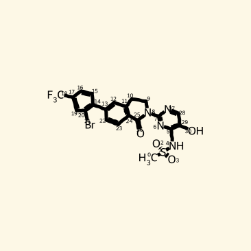 CS(=O)(=O)Nc1nc(N2CCc3cc(-c4ccc(C(F)(F)F)cc4Br)ccc3C2=O)ncc1O